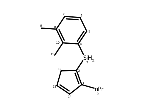 CCCC1=C([SiH2]c2cccc(C)c2C)CC=C1